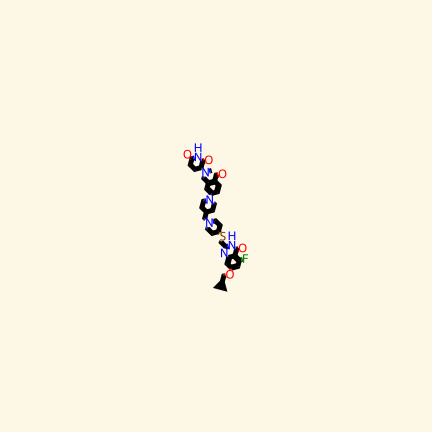 CN(Cc1cc(N2CCC(CN3CCC(SCc4nc5cc(OCC6CC6)cc(F)c5c(=O)[nH]4)CC3)CC2)ccc1C=O)C1CCC(=O)NC1=O